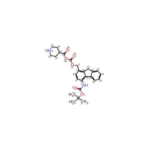 CC(C)(C)OC(=O)Nc1ccc(COC(=O)OC(=O)C2CCNCC2)c2c1-c1ccccc1C2